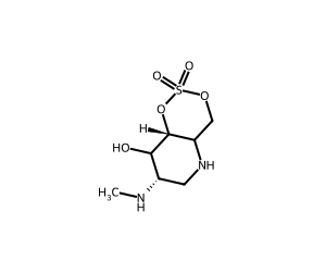 CN[C@H]1CNC2COS(=O)(=O)O[C@H]2C1O